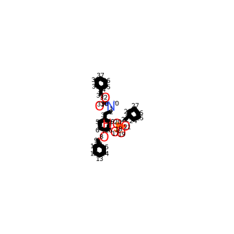 CN(CCc1ccc(OCc2ccccc2)c(OP(=O)(O)OCc2ccccc2)c1)C(=O)OCc1ccccc1